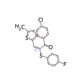 Cc1ccc(/C=C(/Sc2ccc(F)cc2)C(=O)c2ccc(Cl)cc2)s1